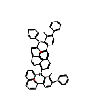 Cc1c(-c2ccccc2)ccc(-c2ccccc2)c1N(c1ccccc1)c1ccc2ccc3c(N(c4ccccc4)c4c(-c5ccccc5)ccc(-c5ccccc5)c4C)ccc4ccc1c2c43